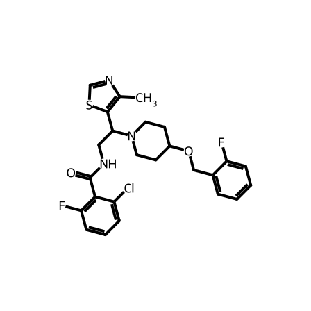 Cc1ncsc1C(CNC(=O)c1c(F)cccc1Cl)N1CCC(OCc2ccccc2F)CC1